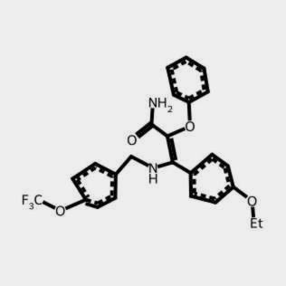 CCOc1ccc(C(NCc2ccc(OC(F)(F)F)cc2)=C(Oc2ccccc2)C(N)=O)cc1